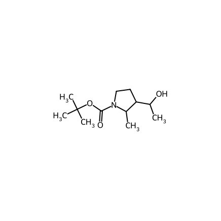 CC(O)C1CCN(C(=O)OC(C)(C)C)C1C